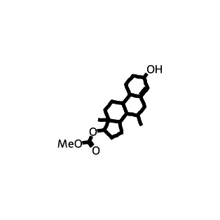 COC(=O)OC1CCC2C3C(C)CC4=CC(O)CCC4C3CCC12C